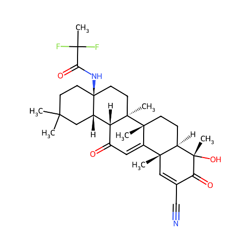 CC1(C)CC[C@]2(NC(=O)C(C)(F)F)CC[C@]3(C)[C@H](C(=O)C=C4[C@@]5(C)C=C(C#N)C(=O)[C@@](C)(O)[C@@H]5CC[C@]43C)[C@@H]2C1